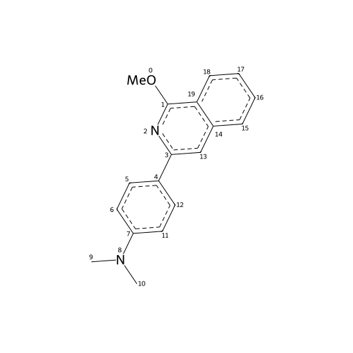 COc1nc(-c2ccc(N(C)C)cc2)cc2ccccc12